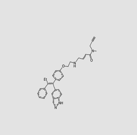 C#CCN(C)C(=O)C=CCNCCOc1ccc(C(=C(CC)c2ccccc2)c2ccc3[nH]ncc3c2)cc1